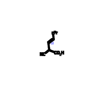 CCC/C=C/C(C#N)C(=O)O